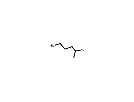 CCCCCCCC([O])C#N